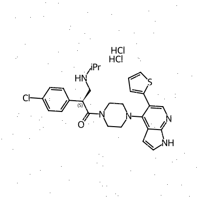 CC(C)NC[C@@H](C(=O)N1CCN(c2c(-c3cccs3)cnc3[nH]ccc23)CC1)c1ccc(Cl)cc1.Cl.Cl